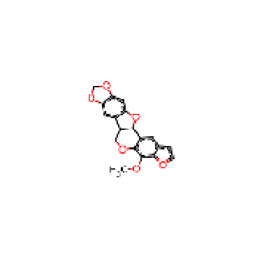 COc1c2c(cc3ccoc13)C1Oc3cc4c(cc3C1CO2)OCO4